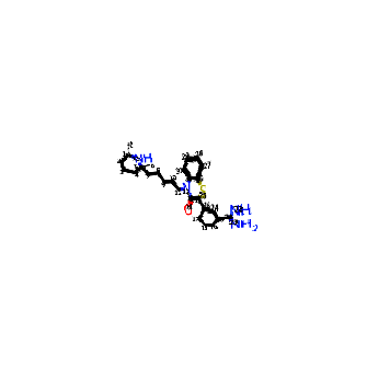 C[C@H]1CCC[C@@](C)(CCCCCN2C(=O)C(C3CCCC(C(=N)N)C3)Sc3ccccc32)N1